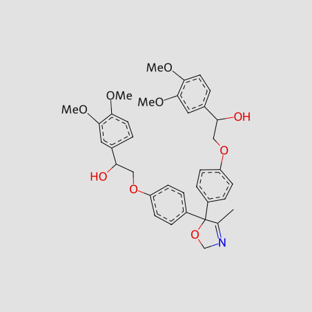 COc1ccc(C(O)COc2ccc(C3(c4ccc(OCC(O)c5ccc(OC)c(OC)c5)cc4)OCN=C3C)cc2)cc1OC